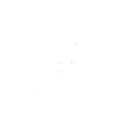 CC1(BC2CCCN2BBC2(C)CCCCCCC2)CCCCCCCC1